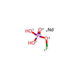 O=P(O)(O)OF.[Nd]